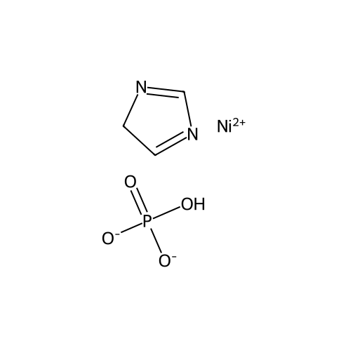 C1=NC=NC1.O=P([O-])([O-])O.[Ni+2]